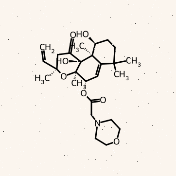 C=C[C@@]1(C)CC(=O)[C@@]2(O)[C@](C)(O1)[C@@H](OC(=O)CN1CCOCC1)C=C1C(C)(C)CC[C@H](O)[C@@]12C